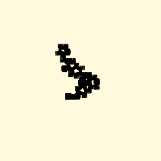 COc1ccc(C2(C(=O)Nc3ccc(C(=O)NCc4ccco4)cc3)CCOCC2)cc1